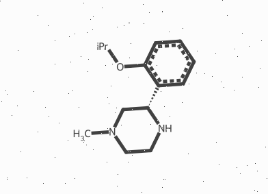 CC(C)Oc1ccccc1[C@H]1CN(C)CCN1